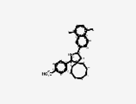 Cc1ccc(C)c2cc(C3CC4(CCCCCCC4)C(c4ccc(C(=O)O)cc4)N3)ccc12